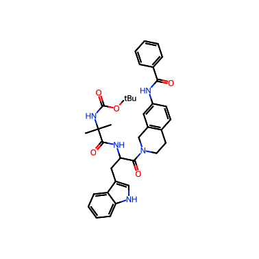 CC(C)(C)OC(=O)NC(C)(C)C(=O)NC(Cc1c[nH]c2ccccc12)C(=O)N1CCc2ccc(NC(=O)c3ccccc3)cc2C1